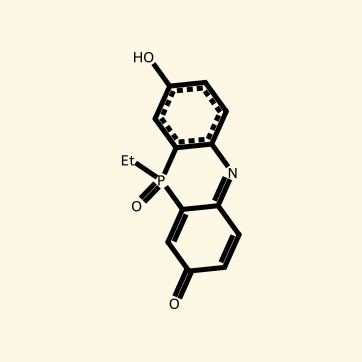 CCP1(=O)C2=CC(=O)C=CC2=Nc2ccc(O)cc21